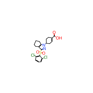 O=C(O)C1=CCC(n2nc(S(=O)(=O)c3c(Cl)cccc3Cl)c3c2CCCC3)CC1